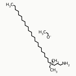 CCCCCCCCCCCCCCCCCCCCCCC[N+](C)(CC)CCCN.CC[O-]